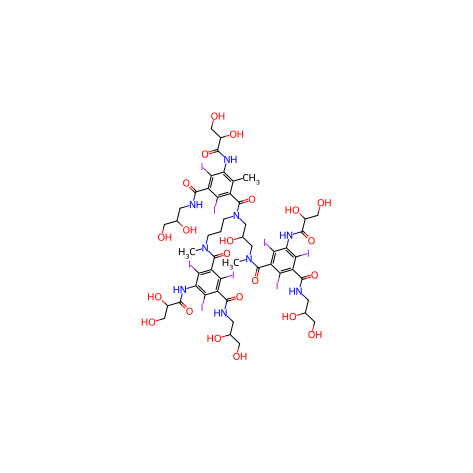 Cc1c(NC(=O)C(O)CO)c(I)c(C(=O)NCC(O)CO)c(I)c1C(=O)N(CCCN(C)C(=O)c1c(I)c(NC(=O)C(O)CO)c(I)c(C(=O)NCC(O)CO)c1I)CC(O)CN(C)C(=O)c1c(I)c(NC(=O)C(O)CO)c(I)c(C(=O)NCC(O)CO)c1I